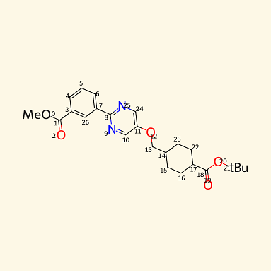 COC(=O)c1cccc(-c2ncc(OCC3CCC(C(=O)OC(C)(C)C)CC3)cn2)c1